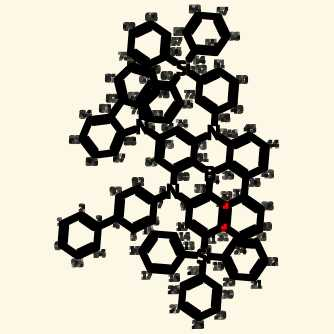 c1ccc(-c2ccc(N3c4cc([Si](c5ccccc5)(c5ccccc5)c5ccccc5)ccc4B4c5c(-c6ccccc6)cccc5N(c5cccc([Si](c6ccccc6)(c6ccccc6)c6ccccc6)c5)c5cc(-n6c7ccccc7c7ccccc76)cc3c54)cc2)cc1